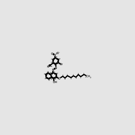 CCCCCCCCCCOc1cc(N=Nc2c(Br)cc([N+](=O)[O-])cc2C#N)c2ccccc2c1O